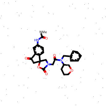 CNC(=O)Nc1ccc2c(c1)C(=O)CC21CN(CC(=O)N(Cc2ccccc2)C2CCCOC2)C(=O)O1